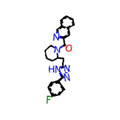 O=C(c1cc2ccccc2cn1)N1CCCCC1Cc1nnc(-c2ccc(F)cc2)[nH]1